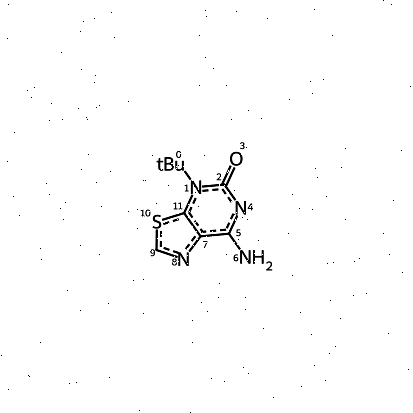 CC(C)(C)n1c(=O)nc(N)c2ncsc21